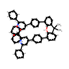 CC1(C)c2cccc(-c3ccc(-c4cc(-c5ccccc5)nc(-c5ccccc5)c4)cc3)c2Oc2c(-c3ccc(-c4cc(-c5ccccc5)nc(-c5ccccc5)c4)cc3)cccc21